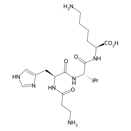 CC(C)[C@H](NC(=O)[C@H](Cc1c[nH]cn1)NC(=O)CCN)C(=O)N[C@@H](CCCCN)C(=O)O